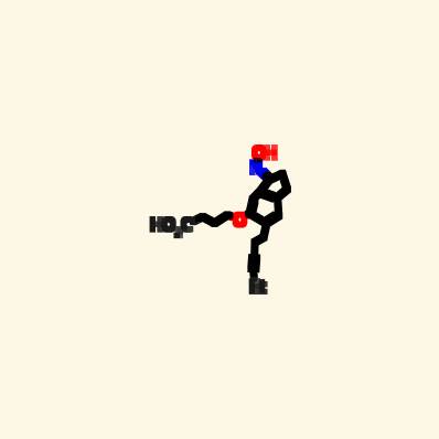 CCC#CCCc1cc2c(cc1OCCCC(=O)O)/C(=N/O)CC2